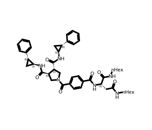 CCCCCCNC(=O)C[C@H](NC(=O)c1ccc(C(=O)N2C[C@@H](C(=O)N[C@H]3C[C@@H]3c3ccccc3)[C@H](C(=O)N[C@H]3C[C@@H]3c3ccccc3)C2)cc1)C(=O)NCCCCCC